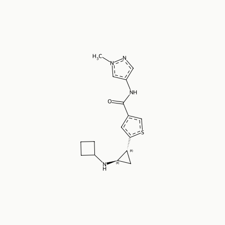 Cn1cc(NC(=O)c2csc([C@@H]3C[C@H]3NC3CCC3)c2)cn1